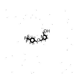 OCc1cccc(COCc2ccc(C(F)(F)F)cc2)n1